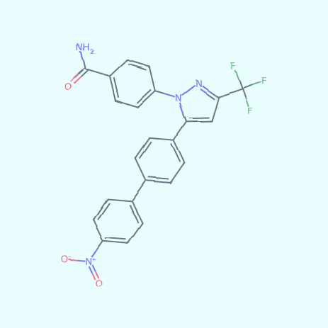 NC(=O)c1ccc(-n2nc(C(F)(F)F)cc2-c2ccc(-c3ccc([N+](=O)[O-])cc3)cc2)cc1